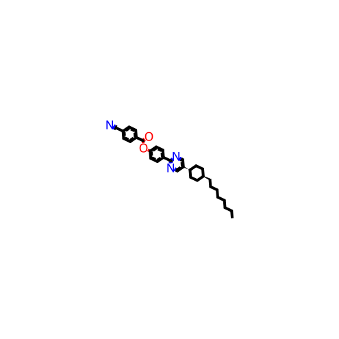 CCCCCCCC[C@H]1CC[C@H](c2cnc(-c3ccc(OC(=O)c4ccc(C#N)cc4)cc3)nc2)CC1